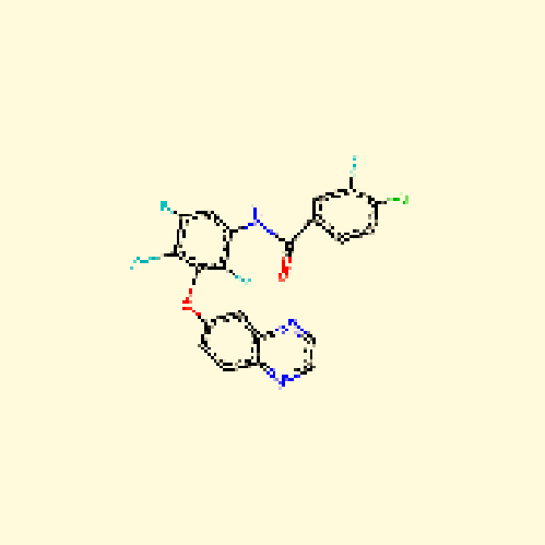 O=C(Nc1cc(F)c(F)c(Oc2ccc3nccnc3c2)c1F)c1ccc(Cl)c(F)c1